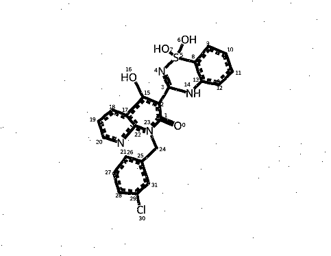 O=c1c(C2=NS(O)(O)c3ccccc3N2)c(O)c2cccnc2n1Cc1cccc(Cl)c1